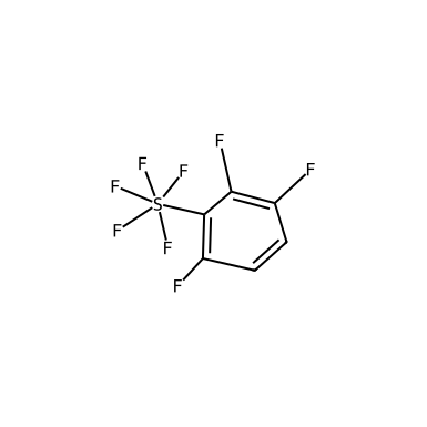 Fc1ccc(F)c(S(F)(F)(F)(F)F)c1F